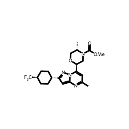 COC(=O)N1C[C@@H](c2cc(C)nc3cc([C@H]4CC[C@H](C(F)(F)F)CC4)nn23)OC[C@@H]1C